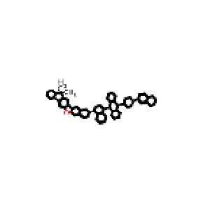 CC1(C)c2ccccc2-c2cc3oc4cc5ccc(-c6ccc(-c7c8ccccc8c(-c8ccc(-c9ccc%10ccccc%10c9)cc8)c8ccccc78)c7ccccc67)cc5cc4c3cc21